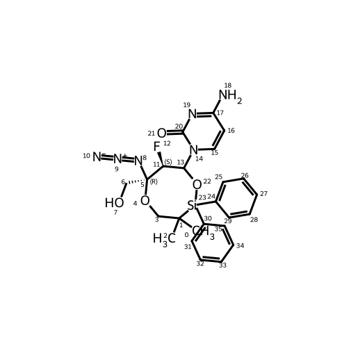 CC1(C)CO[C@@](CO)(N=[N+]=[N-])[C@@H](F)C(n2ccc(N)nc2=O)O[Si]1(c1ccccc1)c1ccccc1